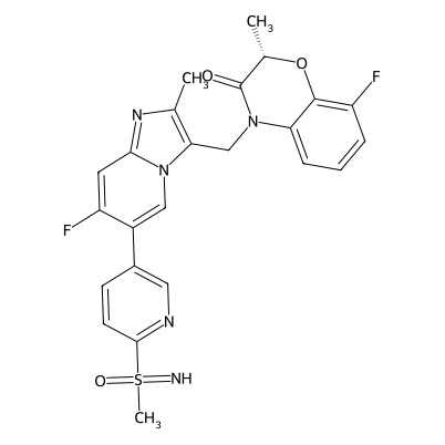 Cc1nc2cc(F)c(-c3ccc(S(C)(=N)=O)nc3)cn2c1CN1C(=O)[C@H](C)Oc2c(F)cccc21